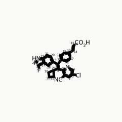 N#Cc1cc(Cl)cnc1C(=C(c1ccc(C=CC(=O)O)cc1)c1ccc2[nH]nc(F)c2c1)C1CCC1